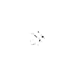 F.[CaH2].[O]=[Al][OH].[O]=[Al][OH]